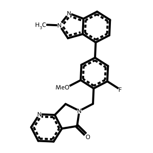 COc1cc(-c2cccc3nn(C)cc23)cc(F)c1CN1Cc2ncccc2C1=O